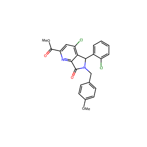 COC(=O)c1cc(Cl)c2c(n1)C(=O)N(Cc1ccc(OC)cc1)C2c1ccccc1Cl